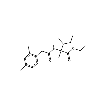 CCOC(=O)C(C)(NC(=O)Cc1ccc(C)cc1C)C(C)CC